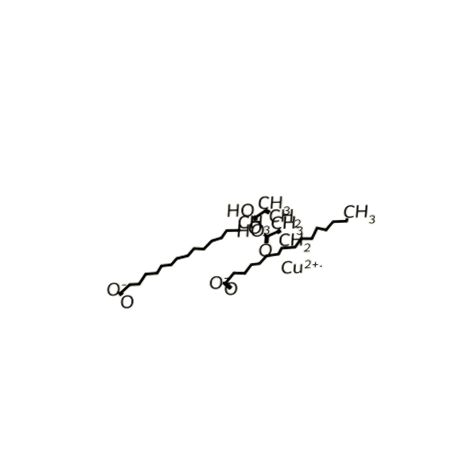 C=C(C)C(=O)O.C=C(C)C(=O)O.CCCCCCCCCCCCCCCC(=O)[O-].CCCCCCCCCCCCCCCC(=O)[O-].[Cu+2]